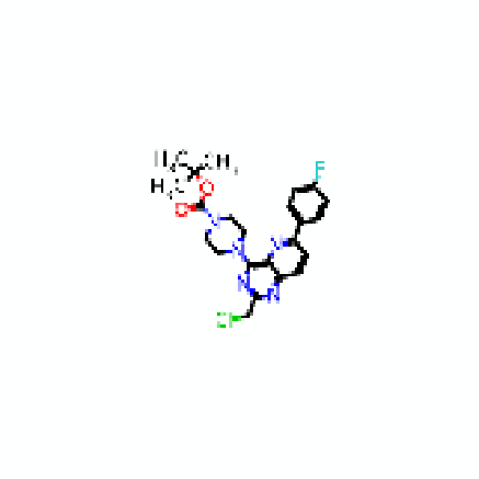 CC(C)(C)OC(=O)N1CCN(c2nc(CCl)nc3ccc(-c4ccc(F)cc4)nc23)CC1